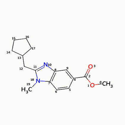 COC(=O)c1ccc2c(c1)nc(CC1CCCC1)n2C